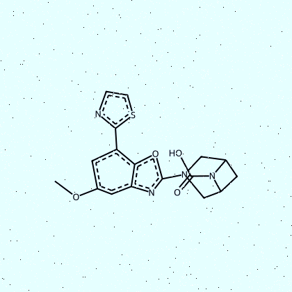 COc1cc(-c2nccs2)c2oc(N3CC4CC(C3)N4C(=O)O)nc2c1